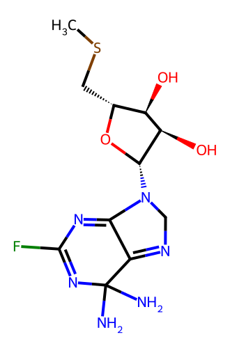 CSC[C@H]1O[C@@H](N2CN=C3C2=NC(F)=NC3(N)N)[C@H](O)[C@@H]1O